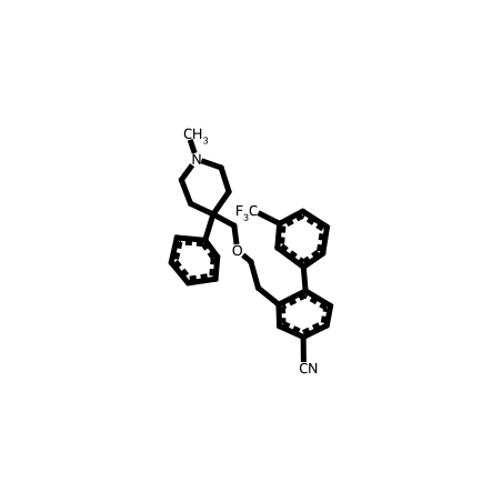 CN1CCC(COCCc2cc(C#N)ccc2-c2cccc(C(F)(F)F)c2)(c2ccccc2)CC1